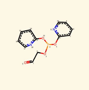 O=CCOP(Oc1ccccn1)Oc1ccccn1